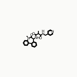 CC(C(=O)NCc1ccncc1)C(=O)NC1C(=O)N(C)c2ccccc2-c2ccccc21